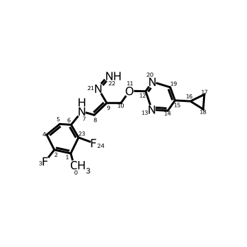 Cc1c(F)ccc(N/C=C(/COc2ncc(C3CC3)cn2)N=N)c1F